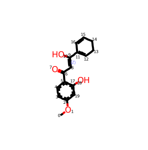 COc1ccc(C(=O)/C=C(\O)C2=CCCC=C2)c(O)c1